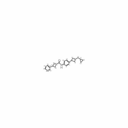 O=C(Nc1ccc(C2CN(CC3CC3)C2)cc1)N1CC(c2cccnc2)C1